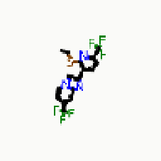 CCSc1nc(C(F)(F)F)ccc1-c1cn2ccc(C(F)(F)F)cc2n1